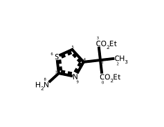 CCOC(=O)C(C)(C(=O)OCC)c1csc(N)n1